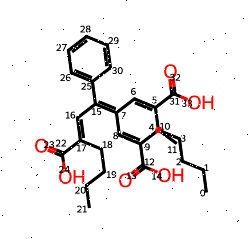 CCCCCC(=CC(C=C(CC)C(=O)O)=C(C=C(CCCC)C(=O)O)c1ccccc1)C(=O)O